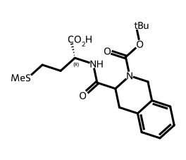 CSCC[C@@H](NC(=O)C1Cc2ccccc2CN1C(=O)OC(C)(C)C)C(=O)O